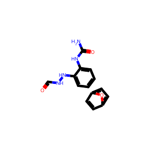 NC(=O)Nc1ccccc1NNC=O.c1cc2ccc1o2